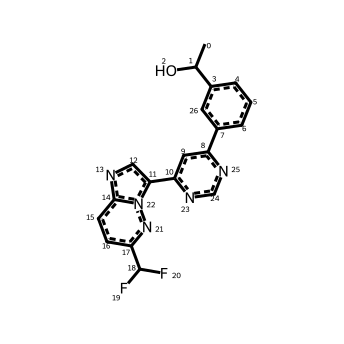 CC(O)c1cccc(-c2cc(-c3cnc4ccc(C(F)F)nn34)ncn2)c1